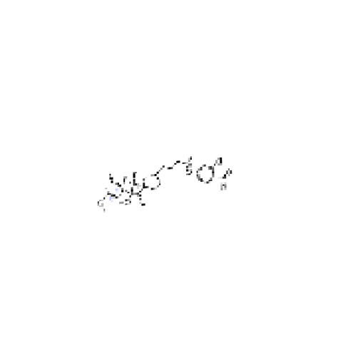 C=C/C=C(\C=C(/C)OC)C(O)(C(=O)N1CCC(CCC[C@@H](C)Oc2ccc(C(=O)N(C)C)c(Cl)c2)CC1)C(F)(F)F